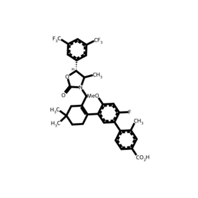 COc1cc(F)c(-c2ccc(C(=O)O)cc2C)cc1C1=C(CN2C(=O)O[C@H](c3cc(C(F)(F)F)cc(C(F)(F)F)c3)C2C)CC(C)(C)CC1